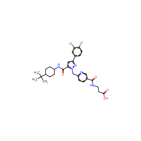 CC(C)(C)C1CCC(NC(=O)c2cc(-c3ccc(Cl)c(Cl)c3)nn2Cc2ccc(C(=O)NCCC(=O)O)cn2)CC1